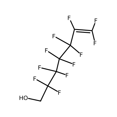 OCC(F)(F)C(F)(F)C(F)(F)C(F)(F)C(F)=C(F)F